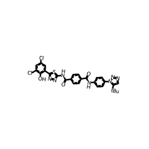 CC(C)(C)c1cnnn1-c1ccc(NC(=O)c2ccc(C(=O)Nc3nnc(-c4cc(Cl)cc(Cl)c4O)s3)cc2)cc1